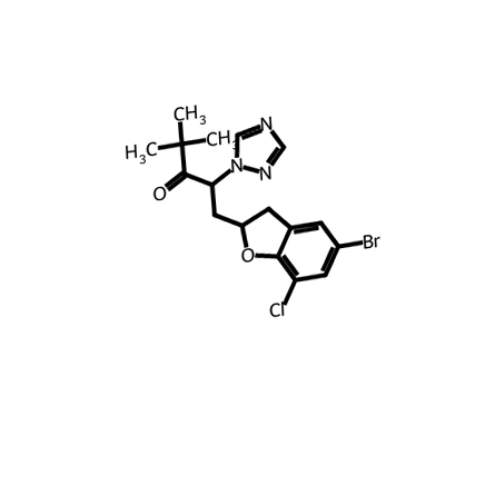 CC(C)(C)C(=O)C(CC1Cc2cc(Br)cc(Cl)c2O1)n1cncn1